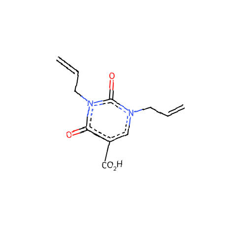 C=CCn1cc(C(=O)O)c(=O)n(CC=C)c1=O